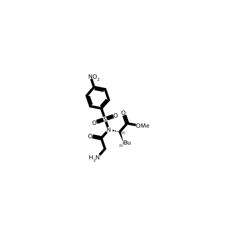 CC[C@H](C)[C@@H](C(=O)OC)N(C(=O)CN)S(=O)(=O)c1ccc([N+](=O)[O-])cc1